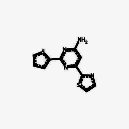 Nc1cc(-c2nccs2)nc(-c2cccs2)n1